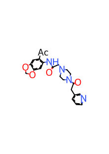 CC(=O)c1cc2c(cc1NC(=O)CN1CCN(C(=O)Cc3cccnc3)CC1)OCO2